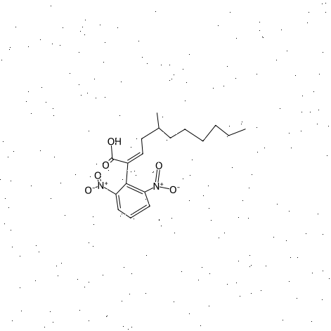 CCCCCCC(C)CC=C(C(=O)O)c1c([N+](=O)[O-])cccc1[N+](=O)[O-]